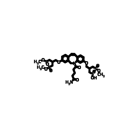 COSCC(COc1ccc2c(c1)CN(C(=O)CCCC(N)=O)c1cc(OCC(CSO)CS(=O)(=O)OC)ccc1C#C2)CS(=O)(=O)OC